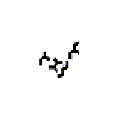 C=C(C)C(=C)C.C=C/C=C/C.C=CC(=C)C.C=CC(=C)CC